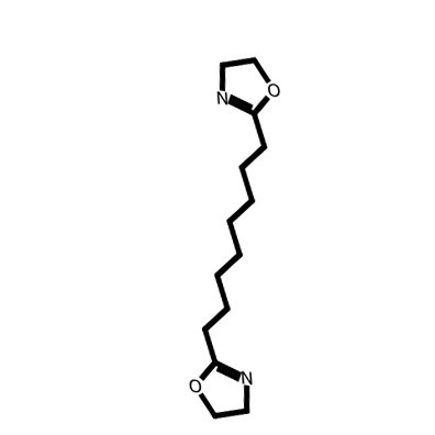 C(CCCCC1=NCCO1)CCCC1=NCCO1